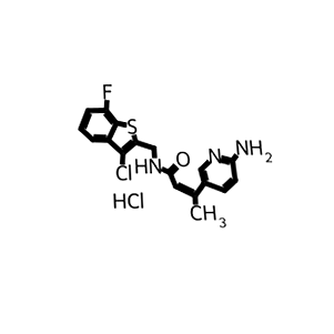 CC(=CC(=O)NCc1sc2c(F)cccc2c1Cl)c1ccc(N)nc1.Cl